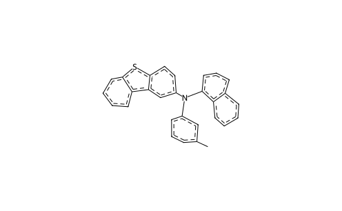 Cc1cccc(N(c2ccc3sc4ccccc4c3c2)c2cccc3ccccc23)c1